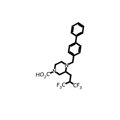 O=C(O)N1CCN(Cc2ccc(-c3ccccc3)cc2)C(CC(C(F)(F)F)C(F)(F)F)C1